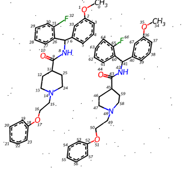 COc1cccc(C(NC(=O)C2CCN(CCOc3ccccc3)CC2)c2ccccc2F)c1.COc1cccc(C(NC(=O)C2CCN(CCOc3ccccc3)CC2)c2ccccc2F)c1